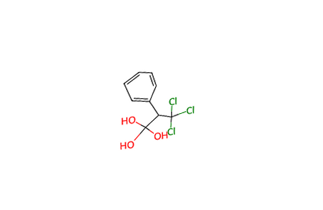 OC(O)(O)C(c1ccccc1)C(Cl)(Cl)Cl